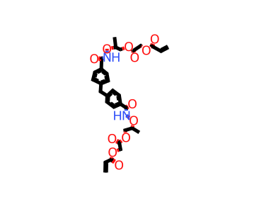 C=CC(=O)OCC(=O)OCC(C)ONC(=O)c1ccc(Cc2ccc(C(=O)NOC(C)COC(=O)COC(=O)C=C)cc2)cc1